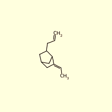 C=CCC1CC2CC(=CC)C1C2